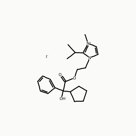 CC(C)c1n(CCOC(=O)C(O)(c2ccccc2)C2CCCC2)cc[n+]1C.[I-]